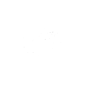 CC(C)(C)C1(C(C)(C)C)C=C(Cl)C=C(c2cc(Cl)ccc2O)C1O